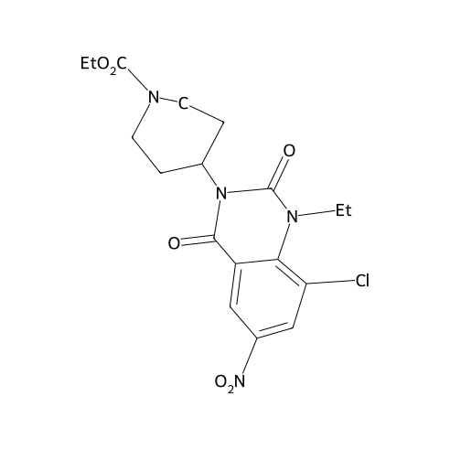 CCOC(=O)N1CCC(n2c(=O)c3cc([N+](=O)[O-])cc(Cl)c3n(CC)c2=O)CC1